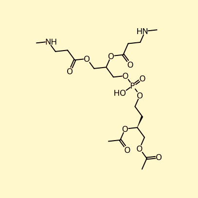 CNCCC(=O)OCC(COP(=O)(O)OCC[C@@H](COC(C)=O)OC(C)=O)OC(=O)CCNC